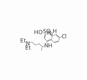 CCN(CC)CCCC(C)Nc1ccnc2cc(Cl)ccc12.O=S(=O)(O)O